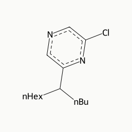 CCCCCCC(CCCC)c1cncc(Cl)n1